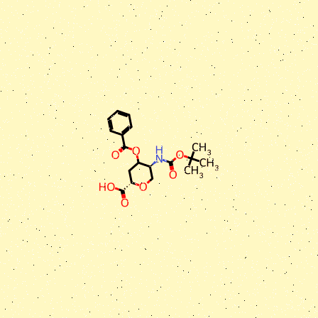 CC(C)(C)OC(=O)N[C@H]1CO[C@H](C(=O)O)CC1OC(=O)c1ccccc1